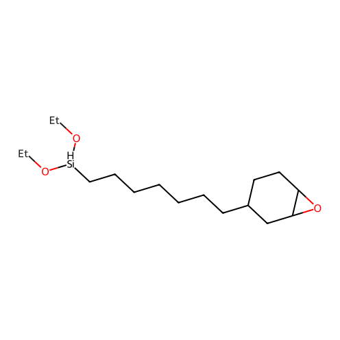 CCO[SiH](CCCCCCCC1CCC2OC2C1)OCC